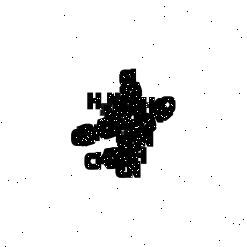 N#Cc1cc(Cl)ccc1NC(=O)Cc1nc2cc(N3CCOCC3)ccc2[nH]1.Nc1c(-c2nc3cc(N4CCOCC4)ccc3[nH]2)c(=O)[nH]c2ccc(Cl)cc12